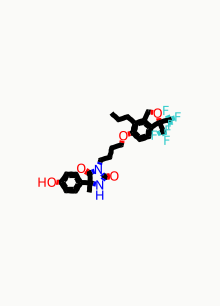 CCCc1c(OCCCCN2C(=O)NC(C)(c3ccc(O)cc3)C2=O)ccc2c1COC2(C(F)(F)F)C(F)(F)F